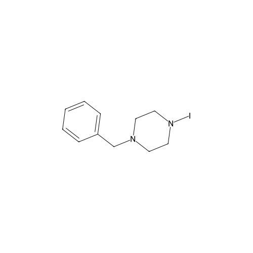 IN1CCN(Cc2ccccc2)CC1